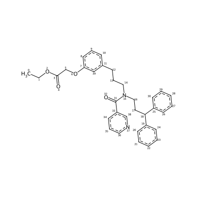 CCOC(=O)COc1cccc(CCCN(CCC(c2ccccc2)c2ccccc2)C(=O)c2cccnc2)c1